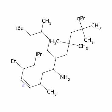 CCCC(C)(C)CC(C)(C)CC(CCC(C)CC(C)CC)C(N)CC(C)/C=C\C(CC)CC(C)C